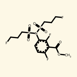 COC(=O)c1c(F)ccc(N(S(=O)(=O)CCCF)S(=O)(=O)CCCF)c1F